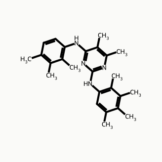 Cc1ccc(Nc2nc(Nc3cc(C)c(C)c(C)c3C)nc(C)c2C)c(C)c1C